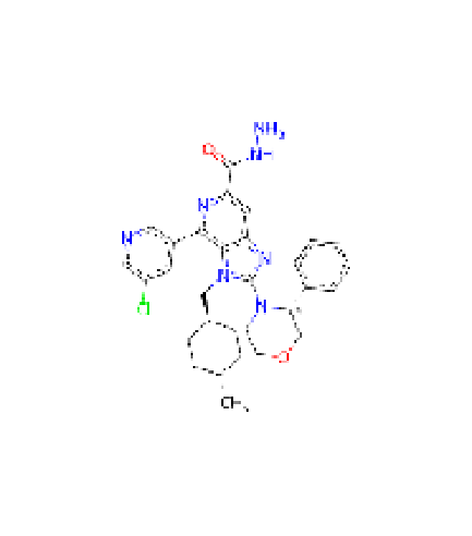 C[C@H]1CC[C@H](Cn2c(N3CCOC[C@H]3c3ccccc3)nc3cc(C(=O)NN)nc(-c4cncc(Cl)c4)c32)CC1